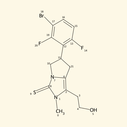 Cn1c(CCO)c2n(c1=S)CC(c1c(F)ccc(Br)c1F)C2